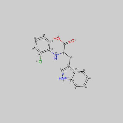 O=C(O)C(Cc1c[nH]c2ccccc12)Nc1ccccc1Cl